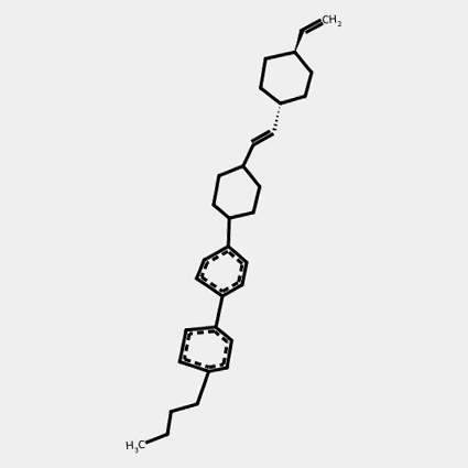 C=C[C@H]1CC[C@H](C=CC2CCC(c3ccc(-c4ccc(CCCC)cc4)cc3)CC2)CC1